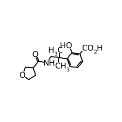 CC(C)(CNC(=O)C1CCOC1)c1cccc(C(=O)O)c1O